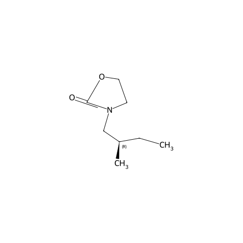 CC[C@@H](C)CN1CCOC1=O